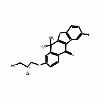 CC1(C)c2cc(OC[C@H](O)CO)ccc2C(=O)c2c1oc1ccc(F)cc21